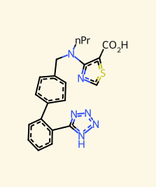 CCCN(Cc1ccc(-c2ccccc2-c2nnn[nH]2)cc1)c1ncsc1C(=O)O